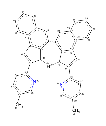 Cc1ccc(C2=Cc3c(ccc4ccccc34)[CH]2[Hf][CH]2C(c3ccc(C)cn3)=Cc3c2ccc2ccccc32)nc1